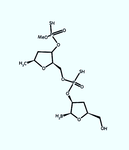 B[C@@H]1O[C@H](CO)C[C@@H]1OP(=O)(S)OC[C@H]1O[C@@H](C)CC1OP(=O)(S)OC